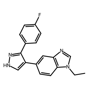 CCn1cnc2cc(-c3c[nH]nc3-c3ccc(F)cc3)ccc21